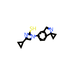 Sc1nc(C2CC2)cn1-c1ccc2c(c1)C=NC21CC1